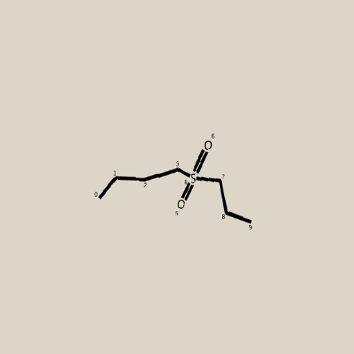 CCCCS(=O)(=O)CCC